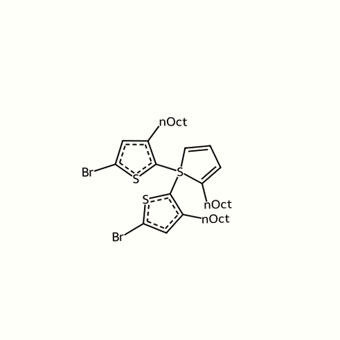 CCCCCCCCC1=CC=CS1(c1sc(Br)cc1CCCCCCCC)c1sc(Br)cc1CCCCCCCC